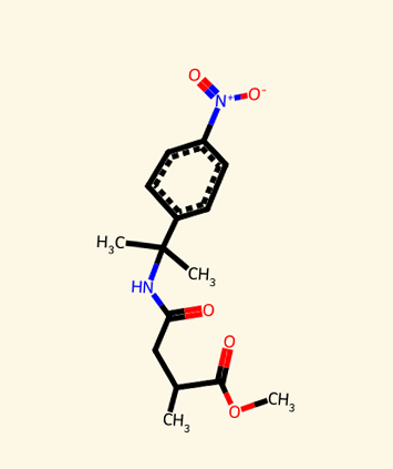 COC(=O)C(C)CC(=O)NC(C)(C)c1ccc([N+](=O)[O-])cc1